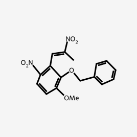 COc1ccc([N+](=O)[O-])c(C=C(C)[N+](=O)[O-])c1OCc1ccccc1